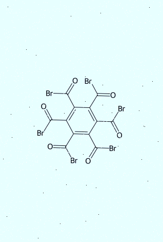 O=C(Br)c1c(C(=O)Br)c(C(=O)Br)c(C(=O)Br)c(C(=O)Br)c1C(=O)Br